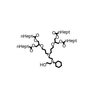 CCCCCCCC(=O)OCC(COC(=O)CCCCCCC)OCCCN(CCCOC(COC(=O)CCCCCCC)COC(=O)CCCCCCC)CCN(CCO)C1CCCCC1